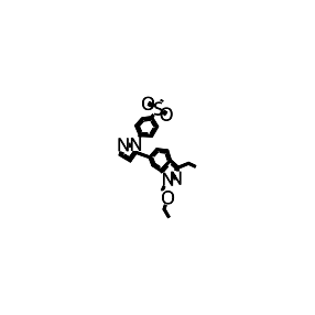 CCOCn1nc(CC)c2ccc(-c3ccnn3-c3ccc(S(C)(=O)=O)cc3)cc21